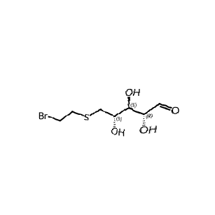 O=C[C@H](O)[C@H](O)[C@H](O)CSCCBr